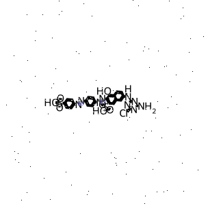 Nc1nc(Cl)nc(Nc2ccc3c(O)c(/N=N/c4ccc(/N=N/c5ccc(S(=O)(=O)O)cc5)cc4)c(S(=O)(=O)O)cc3c2)n1